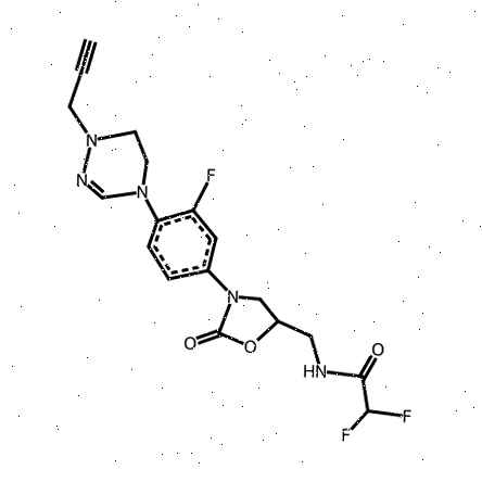 C#CCN1CCN(c2ccc(N3CC(CNC(=O)C(F)F)OC3=O)cc2F)C=N1